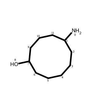 NC1CCCCCC(O)CCC1